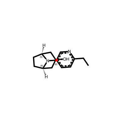 CCc1ccc(N2[C@@H]3CC[C@H]2C[C@@H](O)C3)cn1